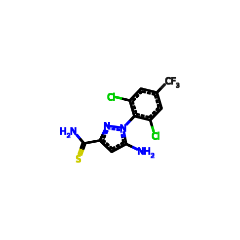 NC(=S)c1cc(N)n(-c2c(Cl)cc(C(F)(F)F)cc2Cl)n1